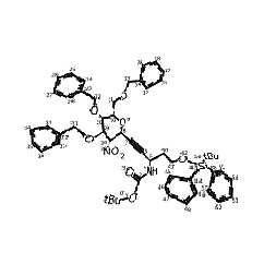 CC(C)(C)OC(=O)N[C@@H](C#C[C@@H]1O[C@H](COCc2ccccc2)[C@@H](OCc2ccccc2)[C@H](OCc2ccccc2)[C@H]1[N+](=O)[O-])CCO[Si](c1ccccc1)(c1ccccc1)C(C)(C)C